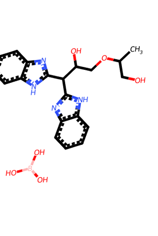 CC(CO)OCC(O)C(c1nc2ccccc2[nH]1)c1nc2ccccc2[nH]1.OB(O)O